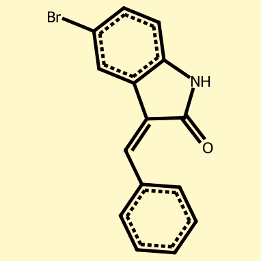 O=C1Nc2ccc(Br)cc2C1=Cc1ccccc1